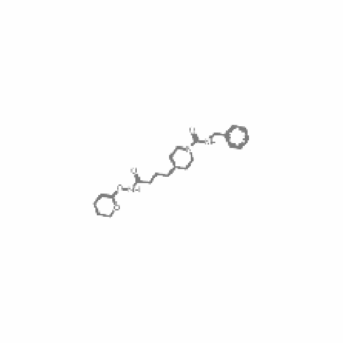 O=C(CCCC1CCN(C(=O)NCc2ccccc2)CC1)NOC1CCCCO1